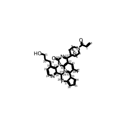 C=CC(=O)N1CC2CCC1CN2c1nc(=O)n(-c2c(CCCO)ccnc2C(C)C)c2nc(C3C=CC=C3F)c(F)cc12